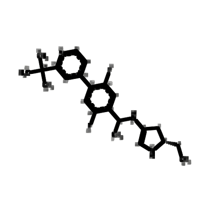 CC[C@H]1CC(NC(C)c2cc(F)c(-c3ccnc(C(C)(C)C)c3)cc2F)=CN1